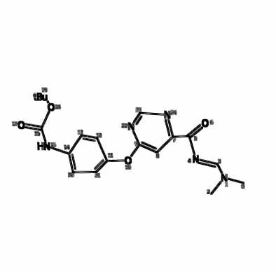 CN(C)C=NC(=O)c1cc(Oc2ccc(NC(=O)OC(C)(C)C)cc2)ncn1